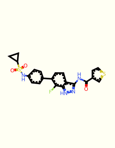 O=C(Nc1n[nH]c2c(F)c(-c3ccc(NS(=O)(=O)C4CC4)cc3)ccc12)c1ccsc1